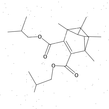 CC(C)COC(=O)C1=C(C(=O)OCC(C)C)C2(C)CCC1(C)C(C)C2C